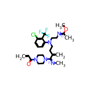 C=CC(=O)N1CCN(/C(=N/C)C(=C)CCN(CC/N=C(\C)OC)c2cccc(Cl)c2C(F)(F)F)CC1